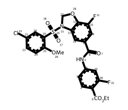 CCOC(=O)c1ccc(NC(=O)c2cc(F)c3c(c2)N(S(=O)(=O)c2cc(Cl)ccc2OC)CO3)cc1F